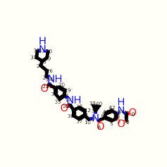 O=C1COc2cc(C(=O)N(Cc3ccc(C(=O)Nc4ccc(C(=O)NCCCC5CCNCC5)cc4)cc3)C3CC3)ccc2N1